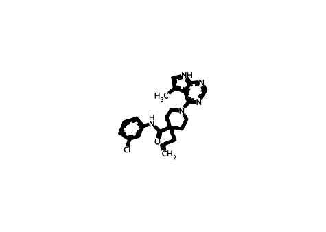 C=CCC1(C(=O)Nc2cccc(Cl)c2)CCN(c2ncnc3[nH]cc(C)c23)CC1